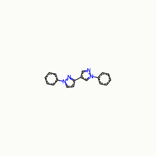 c1ccc(-n2cc(-c3ccn(-c4ccccc4)n3)cn2)cc1